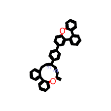 C=C1/C=C\C(c2ccc(-c3ccc4c(c3)-c3ccccc3-c3ccccc3O4)cc2)=C/Cc2ccccc2-c2ccccc2O1